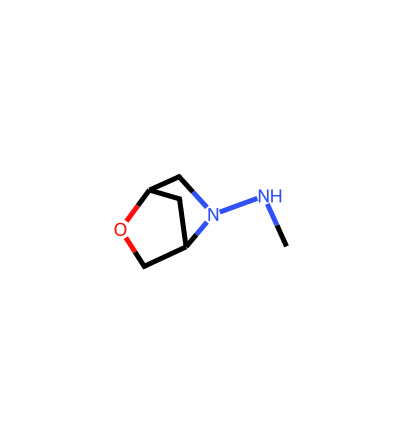 CNN1CC2CC1CO2